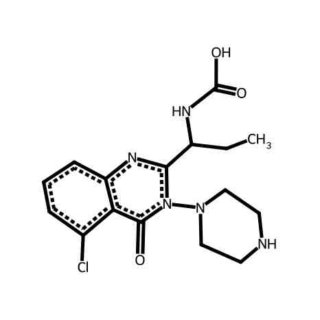 CCC(NC(=O)O)c1nc2cccc(Cl)c2c(=O)n1N1CCNCC1